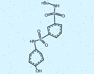 CCCCNS(=O)(=O)c1cccc(S(=O)(=O)Nc2ccc(O)cc2)c1